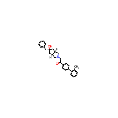 Cc1ccccc1-c1ccc(C(=O)CN2C[C@@H]3CC(O)(Cc4ccccc4)C[C@@H]3C2)cc1